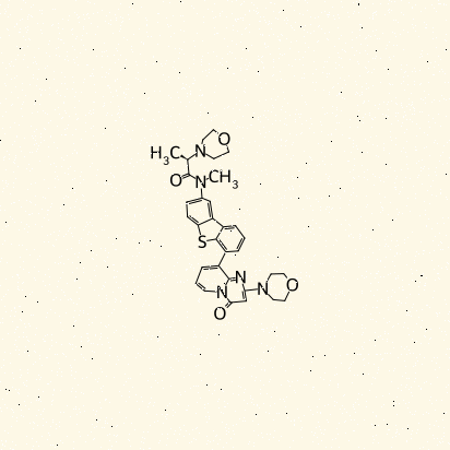 C[C@H](C(=O)N(C)c1ccc2sc3c(-c4cccn5c(=O)cc(N6CCOCC6)nc45)cccc3c2c1)N1CCOCC1